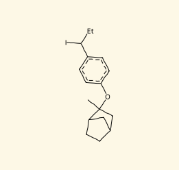 CCC(I)c1ccc(OC2(C)CC3CCC2C3)cc1